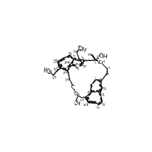 CC1(O)OCCc2ccc3c(cccc3c2)C(O)OCCc2c(CO)ccc3c(CO)c1ccc23